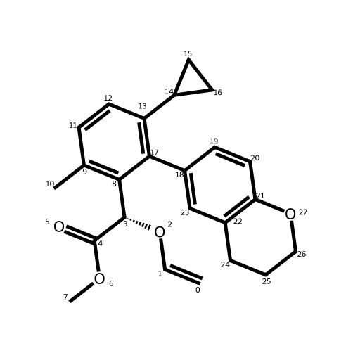 C=CO[C@H](C(=O)OC)c1c(C)ccc(C2CC2)c1-c1ccc2c(c1)CCCO2